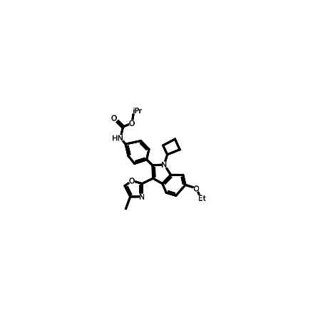 CCOc1ccc2c(-c3nc(C)co3)c(-c3ccc(NC(=O)OC(C)C)cc3)n(C3CCC3)c2c1